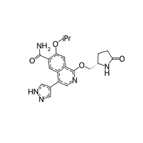 CC(C)Oc1cc2c(OC[C@@H]3CCC(=O)N3)ncc(-c3cn[nH]c3)c2cc1C(N)=O